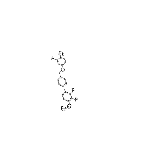 CCOc1ccc(-c2ccc(COc3ccc(CC)c(F)c3)cc2)c(F)c1F